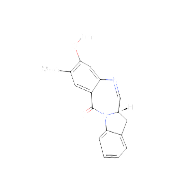 CCCOc1cc2c(cc1OC)C(=O)N1c3ccccc3C[C@H]1C=N2